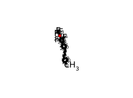 CC1CCC(CCC=CC2CCC(c3cc(F)c(C#CC(F)(F)F)c(F)c3)CC2)CC1